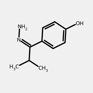 CC(C)/C(=N/N)c1ccc(O)cc1